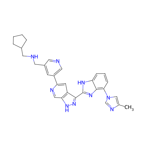 Cc1cn(-c2cccc3[nH]c(-c4n[nH]c5cnc(-c6cncc(CNCC7CCCC7)c6)cc45)nc23)cn1